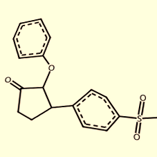 CS(=O)(=O)c1ccc(C2CCC(=O)C2Oc2ccccc2)cc1